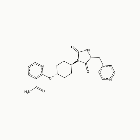 NC(=O)c1cccnc1O[C@H]1CC[C@H](N2C(=O)NC(Cc3ccncc3)C2=O)CC1